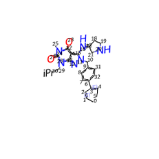 C/C=C\C(=C/C)c1ccc(Cn2nc3c(c2N[C@H]2CCNC2)c(=O)n(C)c(=O)n3CC(C)C)cc1